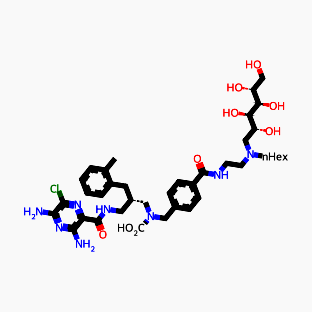 CCCCCCN(CCNC(=O)c1ccc(CN(C[C@H](CNC(=O)c2nc(Cl)c(N)nc2N)Cc2ccccc2C)C(=O)O)cc1)C[C@@H](O)[C@@H](O)[C@H](O)[C@H](O)CO